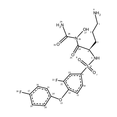 NCCC[C@@H](NS(=O)(=O)c1ccc(Oc2ccc(F)cc2)c(F)c1)C(=O)N(O)C(N)=O